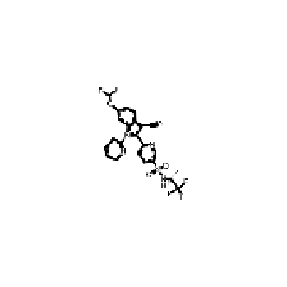 C[C@@H](NS(=O)(=O)c1ccc(-c2c(C#N)c3ccc(OC(F)F)cc3n2-c2ccccn2)nc1)C(F)(F)F